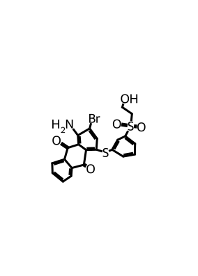 Nc1c(Br)cc(Sc2cccc(S(=O)(=O)CCO)c2)c2c1C(=O)c1ccccc1C2=O